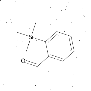 C[Si](C)(C)c1ccccc1[C]=O